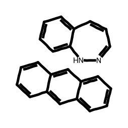 C1=Cc2ccccc2NN=C1.c1ccc2cc3ccccc3cc2c1